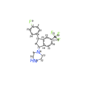 Fc1ccc(C2CC(N3CCNCC3)c3ccc(C(F)(F)F)cc32)cc1